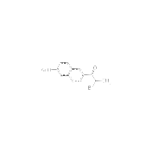 CC(=O)Oc1ccc2cc(C(=O)C(C)Br)ccc2c1